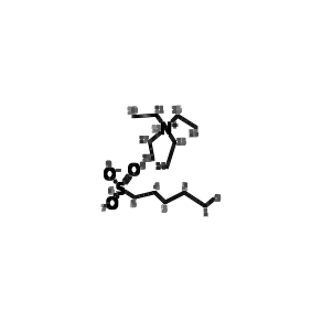 CCCCCCS(=O)(=O)[O-].CC[N+](CC)(CC)CC